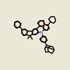 CC1(C)c2ccc(-c3ccccc3)cc2-c2cc(-c3ccccc3)c(N(c3ccc(C4CCCCC4)cc3)c3ccc(C4C5CC6CC(C5)CC4C6)cc3)cc21